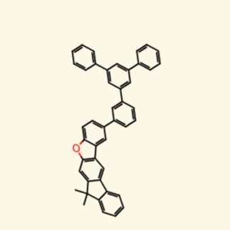 CC1(C)c2ccccc2-c2cc3c(cc21)oc1ccc(-c2cccc(-c4cc(-c5ccccc5)cc(-c5ccccc5)c4)c2)cc13